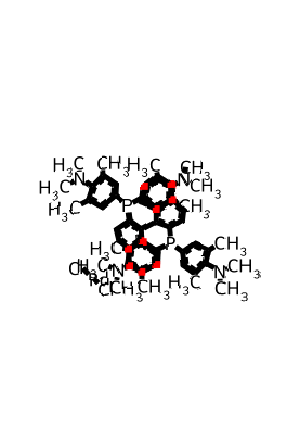 Cc1cc(P(c2cc(C)c(N(C)C)c(C)c2)c2ccc3ccccc3c2-c2c(P(c3cc(C)c(N(C)C)c(C)c3)c3cc(C)c(N(C)C)c(C)c3)ccc3ccccc23)cc(C)c1N(C)C.[Cl][Pd][Cl]